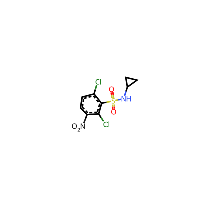 O=[N+]([O-])c1ccc(Cl)c(S(=O)(=O)NC2CC2)c1Cl